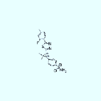 Cc1ccc(-c2nnc([C@@H]3[C@@H](c4ccc(S(N)(=O)=O)cc4)C3(C)C)s2)c(F)c1